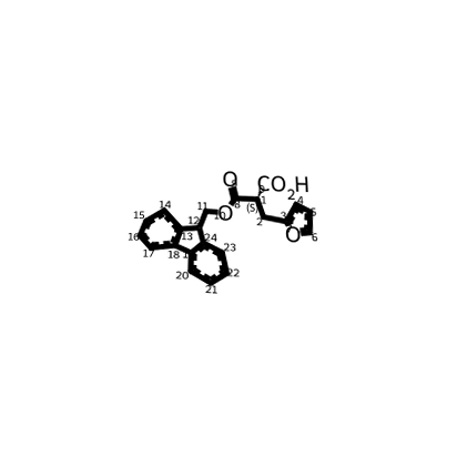 O=C(O)[C@H](Cc1ccco1)C(=O)OCC1c2ccccc2-c2ccccc21